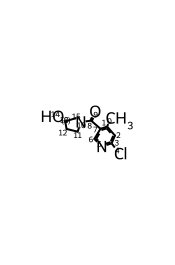 Cc1cc(Cl)ncc1C(=O)N1CC[C@H](O)C1